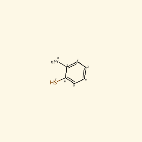 C[CH]Cc1ccccc1S